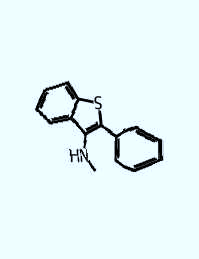 CNc1c(-c2ccccc2)sc2ccccc12